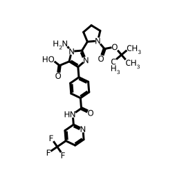 CC(C)(C)OC(=O)N1CCCC1c1nc(-c2ccc(C(=O)Nc3cc(C(F)(F)F)ccn3)cc2)c(C(=O)O)n1N